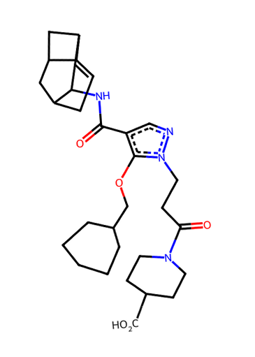 O=C(NC1C2CC=C3C(C2)CC31)c1cnn(CCC(=O)N2CCC(C(=O)O)CC2)c1OCC1CCCCC1